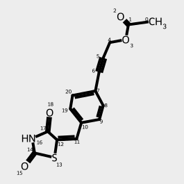 CC(=O)OCC#Cc1ccc(C=C2SC(=O)NC2=O)cc1